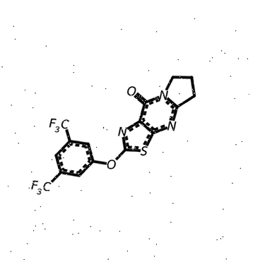 O=c1c2nc(Oc3cc(C(F)(F)F)cc(C(F)(F)F)c3)sc2nc2n1CCC2